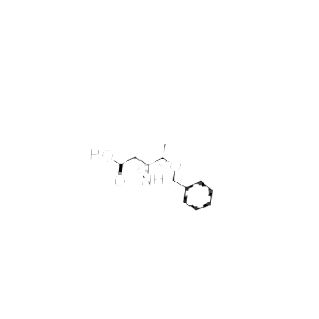 C[C@@H](OCc1ccccc1)[C@@H](N)CC(=O)O